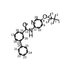 CC(C)(C)[Si](C)(C)Oc1ccc(NC(=O)c2cccc(-c3ccccc3)c2)nc1